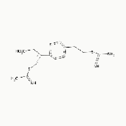 CC(=N)SC[C@H](CC(=O)O)c1ccc(CCSC(=N)N)cc1